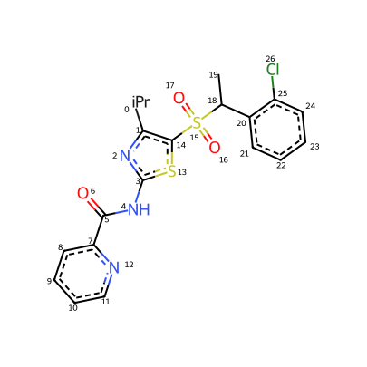 CC(C)c1nc(NC(=O)c2ccccn2)sc1S(=O)(=O)C(C)c1ccccc1Cl